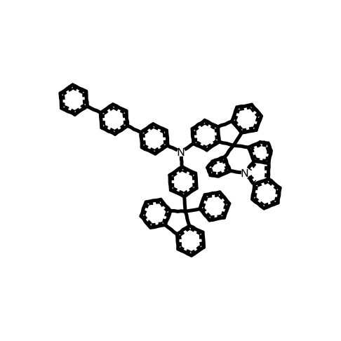 c1ccc(-c2ccc(-c3ccc(N(c4ccc(C5(c6ccccc6)c6ccccc6-c6ccccc65)cc4)c4ccc5c(c4)C4(c6ccccc6-5)c5ccccc5-n5c6ccccc6c6cccc4c65)cc3)cc2)cc1